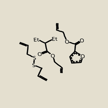 C=CCOC(=O)C(CC)CC.C=CCOC(=O)c1ccco1.C=CCSSCC=C